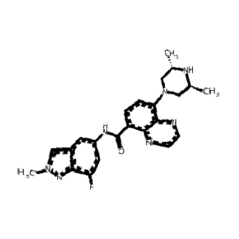 C[C@H]1CN(c2ccc(C(=O)Nc3cc(F)c4nn(C)cc4c3)c3nccnc23)C[C@H](C)N1